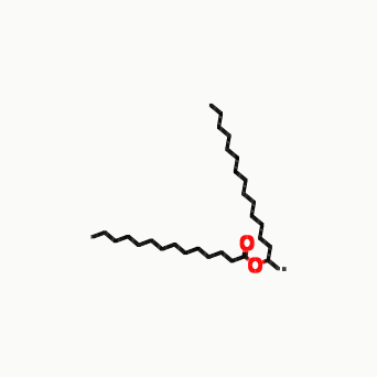 [CH2]C(CCCCCCCCCCCCCC)OC(=O)CCCCCCCCCCCCC